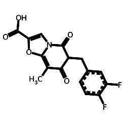 CC1=C2OC(C(=O)O)=CN2C(=O)C(Cc2ccc(F)c(F)c2)C1=O